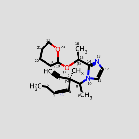 C#C[C@](C)(/C=C\CC)C(C)n1ccnc1[C@H](C)OC1CCCCO1